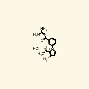 Cc1ccn(-c2cccc(C(=O)N=C(N)N)c2)c1N(C)C.Cl